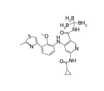 BC(B)(B)NC(=O)c1cnc(NC(=O)C2CC2)cc1Nc1cccc(-c2csc(C)n2)c1OC